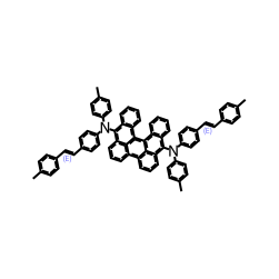 Cc1ccc(/C=C/c2ccc(N(c3ccc(C)cc3)c3c4ccccc4c4c5c3cccc5c3cccc5c(N(c6ccc(C)cc6)c6ccc(/C=C/c7ccc(C)cc7)cc6)c6ccccc6c4c53)cc2)cc1